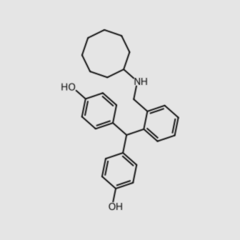 Oc1ccc(C(c2ccc(O)cc2)c2ccccc2CNC2CCCCCCC2)cc1